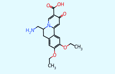 CCOc1cc2c(cc1OCC)-c1cc(=O)c(C(=O)O)cn1C(CN)C2